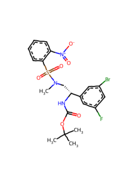 CN(C[C@@H](NC(=O)OC(C)(C)C)c1cc(F)cc(Br)c1)S(=O)(=O)c1ccccc1[N+](=O)[O-]